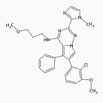 COCCCNc1nc(-c2nccn2C)nn2cc(-c3cccc(OC)c3Cl)c(-c3ccccc3)c12